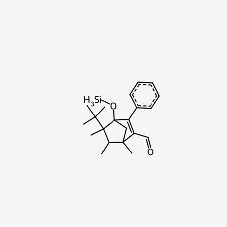 CC1C2(C)CC(O[SiH3])(C(c3ccccc3)=C2C=O)C1(C)C(C)(C)C